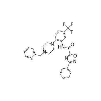 O=C(Nc1cc(C(F)(F)F)ccc1N1CCN(Cc2ccccn2)CC1)c1nc(-c2ccccc2)no1